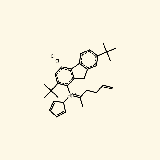 C=CCC[C](C)=[Hf+2]([c]1c(C(C)(C)C)ccc2c1Cc1cc(C(C)(C)C)ccc1-2)[CH]1C=CC=C1.[Cl-].[Cl-]